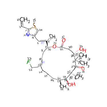 C=Cc1nc(/C=C(\C)[C@@H]2C/C=C(/CF)CCC[C@H](C)[C@H](O)[C@@H](C)C(=O)C(C)(C)[C@@H](O)CC(=O)O2)cs1